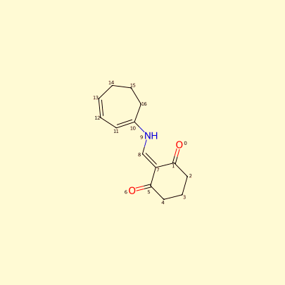 O=C1CCCC(=O)C1=CNC1=CC=CCCC1